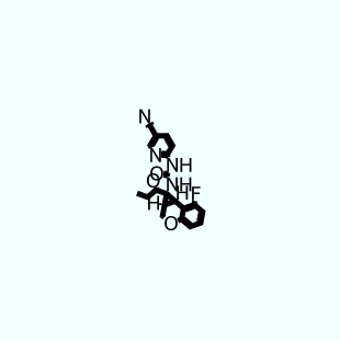 CCC(=O)C1(NC(=O)Nc2ccc(C#N)cn2)[C@@H]2COc3cccc(F)c3[C@@H]21